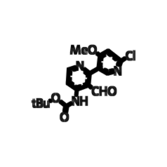 COc1cc(Cl)ncc1-c1nccc(NC(=O)OC(C)(C)C)c1C=O